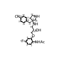 CC(=O)Nc1ccc(F)cc1OC[C@@H](O)CN[C@]1(Cc2ccc(Cl)cc2)CCNC1